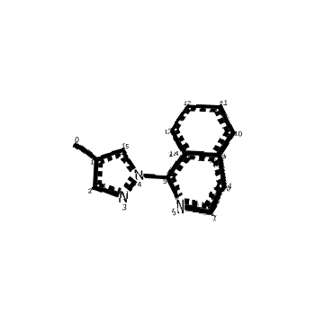 Cc1cnn(-c2nccc3ccccc23)c1